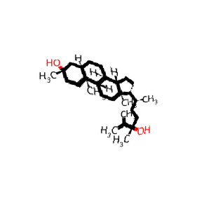 CC(C)[C@@](C)(O)CC[C@@H](C)[C@H]1CC[C@H]2[C@@H]3CC[C@@H]4C[C@@](C)(O)CC[C@]4(C)[C@H]3CC[C@]12C